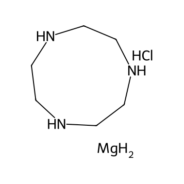 C1CNCCNCCN1.Cl.[MgH2]